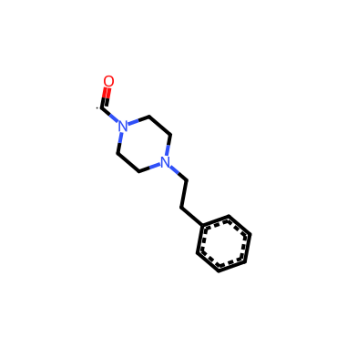 O=[C]N1CCN(CCc2ccccc2)CC1